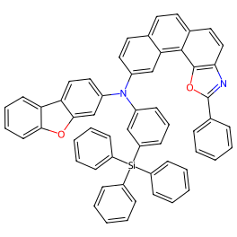 c1ccc(-c2nc3ccc4ccc5ccc(N(c6cccc([Si](c7ccccc7)(c7ccccc7)c7ccccc7)c6)c6ccc7c(c6)oc6ccccc67)cc5c4c3o2)cc1